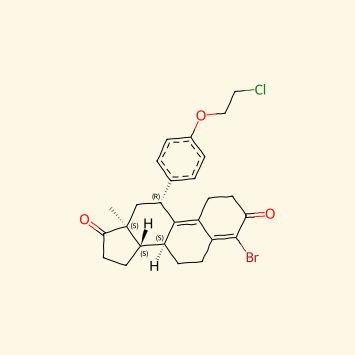 C[C@]12C[C@H](c3ccc(OCCCl)cc3)C3=C4CCC(=O)C(Br)=C4CC[C@H]3[C@@H]1CCC2=O